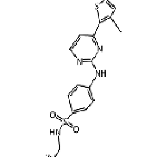 Cc1ccsc1-c1ccnc(Nc2ccc(S(=O)(=O)NCC(C)C)cc2)n1